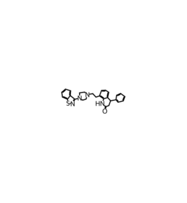 O=C1CC(c2ccccc2)c2cccc(CCN3CCN(c4nsc5ccccc45)CC3)c2N1